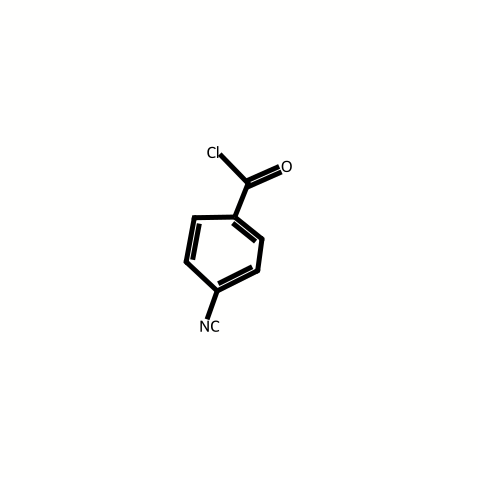 [C-]#[N+]c1ccc(C(=O)Cl)cc1